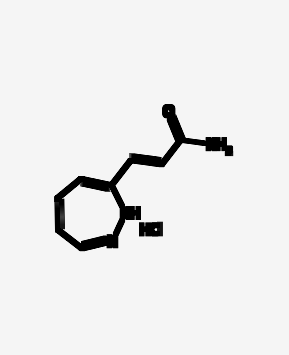 Cl.NC(=O)C=CC1=CC=CC=NN1